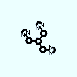 c1cnc(-c2cccc(-c3cc(-c4cccc(-c5ncccn5)c4)cc(-c4cccc(-c5ncccn5)c4)c3)c2)nc1